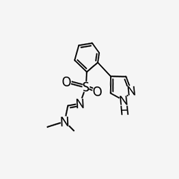 CN(C)C=NS(=O)(=O)c1ccccc1-c1cn[nH]c1